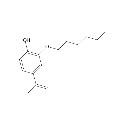 C=C(C)c1ccc(O)c(OCCCCCC)c1